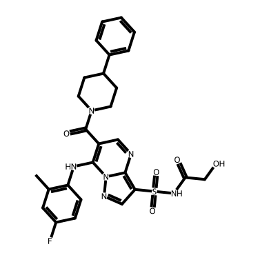 Cc1cc(F)ccc1Nc1c(C(=O)N2CCC(c3ccccc3)CC2)cnc2c(S(=O)(=O)NC(=O)CO)cnn12